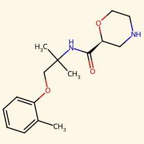 Cc1ccccc1OCC(C)(C)NC(=O)[C@@H]1CNCCO1